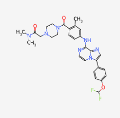 Cc1cc(Nc2nccn3c(-c4ccc(OC(F)F)cc4)cnc23)ccc1C(=O)N1CCN(CC(=O)N(C)C)CC1